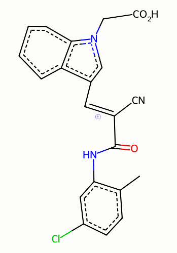 Cc1ccc(Cl)cc1NC(=O)/C(C#N)=C/c1cn(CC(=O)O)c2ccccc12